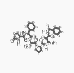 CCCC(NC(=O)[C@@H]1CCCN1C(=O)[C@@H](NC(=O)[C@@H](NC(=O)C1CSC(=O)N1)C1CCCCC1)C(C)(C)C)C(=O)C(=O)N[C@@H](C)c1ccccc1